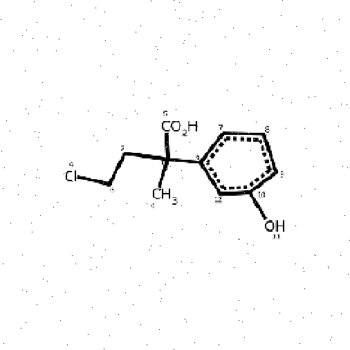 CC(CCCl)(C(=O)O)c1cccc(O)c1